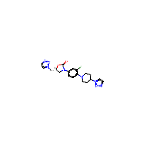 O=C1O[C@@H](Cn2ccnn2)CN1c1ccc(N2CCC(n3ccnn3)CC2)c(F)c1